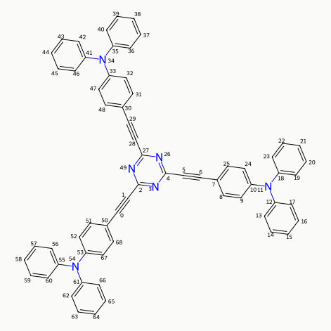 C(#Cc1nc(C#Cc2ccc(N(c3ccccc3)c3ccccc3)cc2)nc(C#Cc2ccc(N(c3ccccc3)c3ccccc3)cc2)n1)c1ccc(N(c2ccccc2)c2ccccc2)cc1